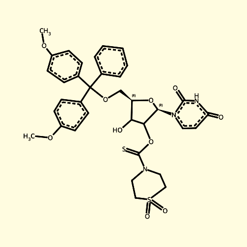 COc1ccc(C(OC[C@H]2O[C@@H](n3ccc(=O)[nH]c3=O)C(OC(=S)N3CCS(=O)(=O)CC3)C2O)(c2ccccc2)c2ccc(OC)cc2)cc1